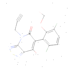 BCOc1c(Cl)ccc(Cl)c1-c1c(O)c2nsnc2n(CC#C)c1=O